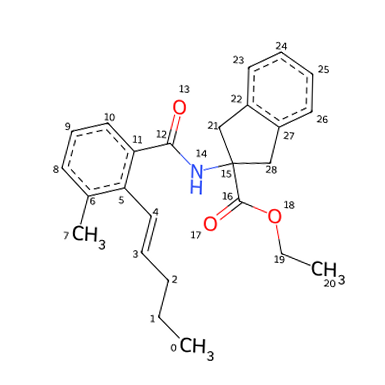 CCC/C=C/c1c(C)cccc1C(=O)NC1(C(=O)OCC)Cc2ccccc2C1